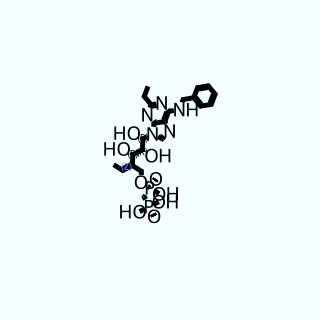 C/C=C(/COP(=O)(O)CP(=O)(O)O)[C@@H](O)[C@@H](O)[C@@H](O)n1cnc2c(NCc3ccccc3)nc(CC)nc21